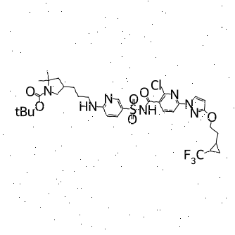 CC(C)(C)OC(=O)N1CC(CCCNc2ccc(S(=O)(=O)NC(=O)c3ccc(-n4ccc(OCCC5CC5C(F)(F)F)n4)nc3Cl)cn2)CC1(C)C